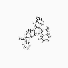 Cc1cc(C(=O)Nc2ccc(C(=N)N3CCCCC3)cc2F)n(-c2cc3ccccc3cc2F)n1